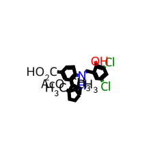 CC(=O)Oc1c(C(=O)O)ccc(NCc2cc(Cl)cc(Cl)c2O)c1C1CC2CCC1(C)C2(C)C